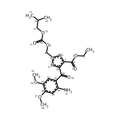 CCOC(=O)c1nn(COC(=O)OCC(C)C)nc1C(=O)c1cc(OC)c(OC)cc1N